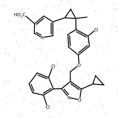 CC1(c2ccc(OCc3c(-c4c(Cl)cccc4Cl)noc3C3CC3)cc2Cl)CC1c1cncc(C(=O)O)c1